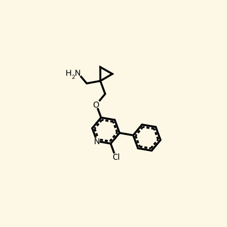 NCC1(COc2cnc(Cl)c(-c3ccccc3)c2)CC1